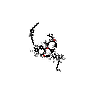 CCCCCCc1ccc(S(=O)(=O)NCCCCCCNCc2c(O)cc3c(c2O)-c2cc(ccc2O)[C@H]2CC(=O)[C@@H]4NC(=O)[C@H](CC(N)=O)CC(=O)[C@H](NC(=O)[C@H](CC)CC(C)C)[C@H](O)c5ccc(c(Cl)c5)Oc5cc4cc(c5O[C@@H]4O[C@H](CO)[C@@H](O)[C@H](O)[C@H]4O[C@H]4C[C@](C)(NC(=O)CCCCCN)[C@H](O)[C@H](C)O4)Oc4ccc(cc4Cl)[C@@H](O)[C@H](NC2=O)C(=O)N[C@@H]3C(=O)O)cc1